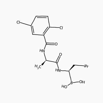 CC(C)C[C@H](NC(=O)[C@@H](C)NC(=O)c1cc(Cl)ccc1Cl)B(O)O